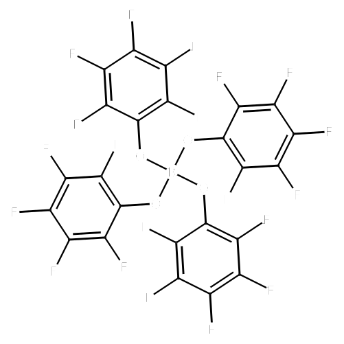 Fc1c(F)c(F)c(O[B-](Oc2c(F)c(F)c(F)c(F)c2F)(Oc2c(F)c(F)c(F)c(F)c2F)Oc2c(F)c(F)c(F)c(F)c2F)c(F)c1F